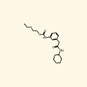 CCOCCOC(=O)Nc1cccc(CC(=O)NC2CCCCC2)c1